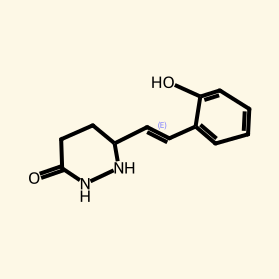 O=C1CCC(/C=C/c2ccccc2O)NN1